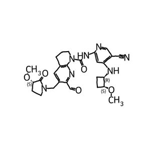 CO[C@H]1CCN(Cc2cc3c(nc2C=O)N(C(=O)Nc2cc(N[C@@H]4CC[C@@H]4OC)c(C#N)cn2)CCC3)C1=O